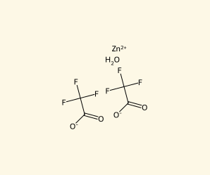 O.O=C([O-])C(F)(F)F.O=C([O-])C(F)(F)F.[Zn+2]